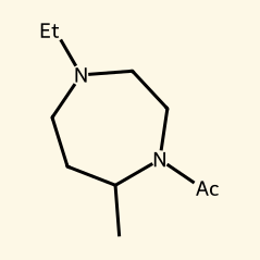 CCN1CCC(C)N(C(C)=O)CC1